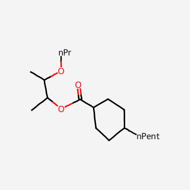 CCCCCC1CCC(C(=O)OC(C)C(C)OCCC)CC1